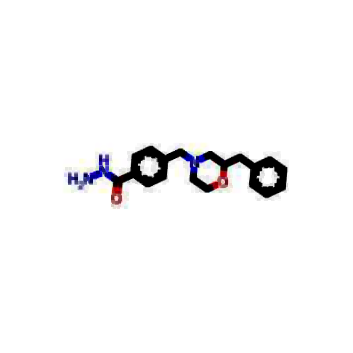 NNC(=O)c1ccc(CN2CCOC(Cc3ccccc3)C2)cc1